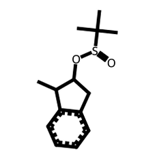 CC1c2ccccc2CC1OS(=O)C(C)(C)C